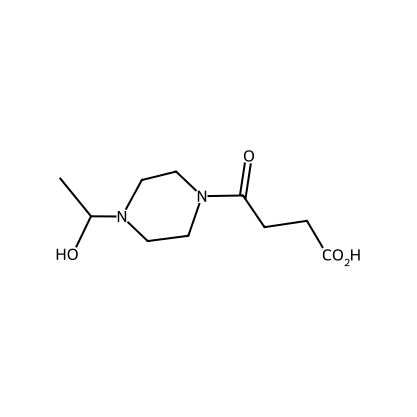 CC(O)N1CCN(C(=O)CCC(=O)O)CC1